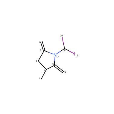 C=C1CC(C)C(=C)N1C(I)I